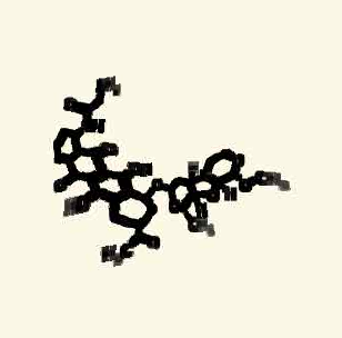 CO[C@H]1OCCN2[C@@H]1O[C@@H]1[C@H](C)O[C@@H](O[C@H]3C[C@H](C(C)=O)Cc4c(O)c5c(c(O)c43)C(=O)c3c(NC(=O)CN)cccc3C5=O)C[C@@H]12